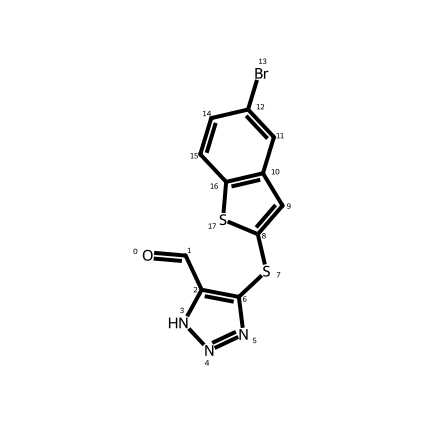 O=Cc1[nH]nnc1Sc1cc2cc(Br)ccc2s1